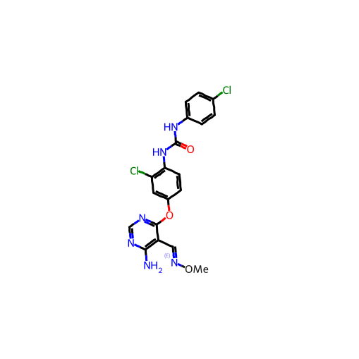 CO/N=C/c1c(N)ncnc1Oc1ccc(NC(=O)Nc2ccc(Cl)cc2)c(Cl)c1